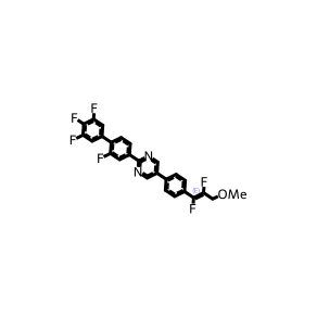 COC/C(F)=C(\F)c1ccc(-c2cnc(-c3ccc(-c4cc(F)c(F)c(F)c4)c(F)c3)nc2)cc1